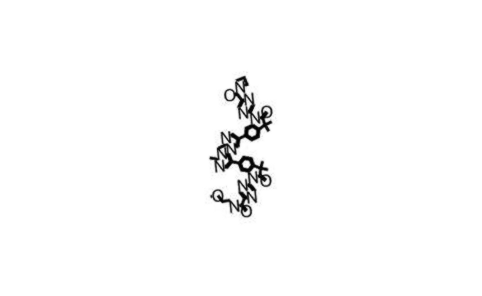 COCCN(C)C(=O)c1cnc(N2C(=O)C(C)(C)c3ccc(-c4cnc(C)nc4)cc32)cn1.Cc1ncc(-c2ccc3c(c2)N(c2cnc(C(=O)N4CCC4)cn2)C(=O)C3(C)C)cn1